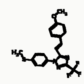 COc1ccc(C=Cc2nc(C(F)(F)F)nn2-c2ccc(SC)cc2)cc1